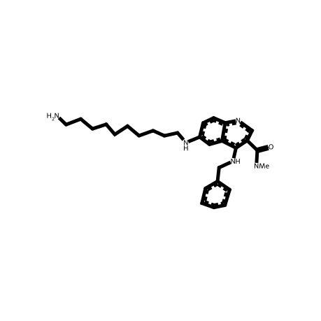 CNC(=O)c1cnc2ccc(NCCCCCCCCCCN)cc2c1NCc1ccccc1